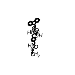 C=CCOC(=O)NCc1ccc(CC(NC(=O)OCC2c3ccccc3-c3ccccc32)C(=O)O)cc1